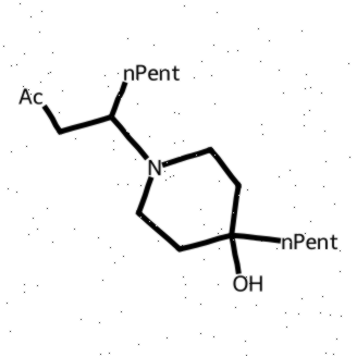 CCCCCC(CC(C)=O)N1CCC(O)(CCCCC)CC1